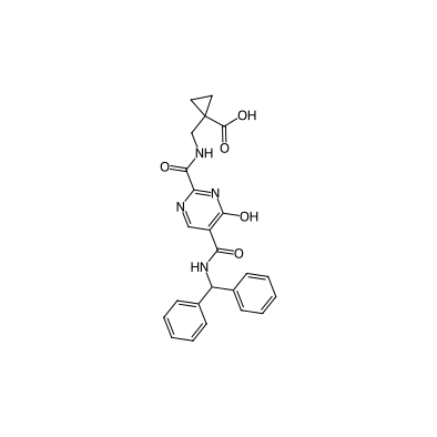 O=C(NCC1(C(=O)O)CC1)c1ncc(C(=O)NC(c2ccccc2)c2ccccc2)c(O)n1